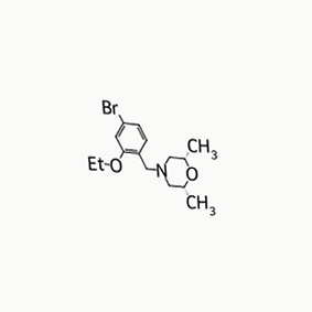 CCOc1cc(Br)ccc1CN1C[C@@H](C)O[C@@H](C)C1